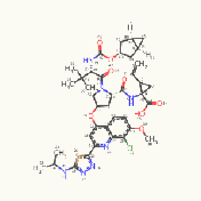 C=CC1C[C@]1(NC(=O)[C@@H]1CC(Oc2cc(-c3nnc(NC(C)C)s3)nc3c(Cl)c(OC)ccc23)CN1C(=O)[C@@H](NC(=O)O[C@@H]1C[C@@H]2C[C@@H]2C1)C(C)(C)C)C(=O)O